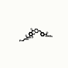 CC(C)CCNC(=O)Nc1ccc(C(=O)N2CCN(Cc3cccc(C(=O)NC(C)(C)C)c3)CC2)c(F)c1F